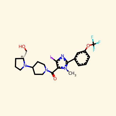 Cn1c(-c2cccc(OC(F)(F)F)c2)nc(I)c1C(=O)N1CCC(N2CCC[C@@H]2CO)CC1